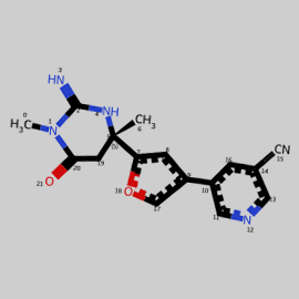 CN1C(=N)N[C@](C)(c2cc(-c3cncc(C#N)c3)co2)CC1=O